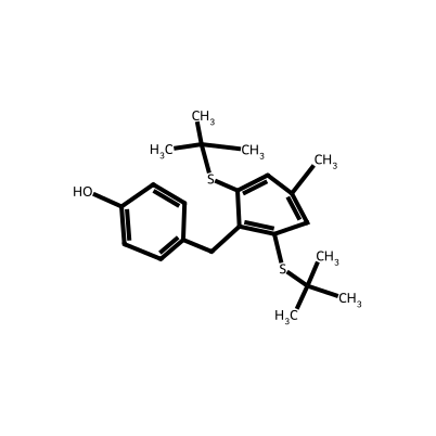 Cc1cc(SC(C)(C)C)c(Cc2ccc(O)cc2)c(SC(C)(C)C)c1